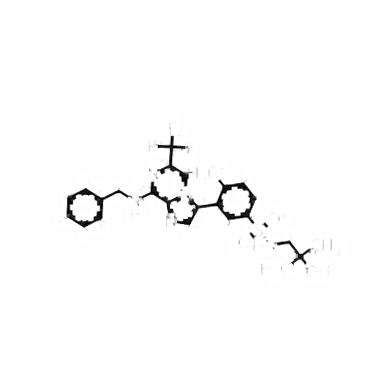 Cc1ccc(S(=O)(=O)NCC(C)(C)O)cc1-c1cnc2c(NCc3ccccc3)nc(C(F)(F)F)cn12